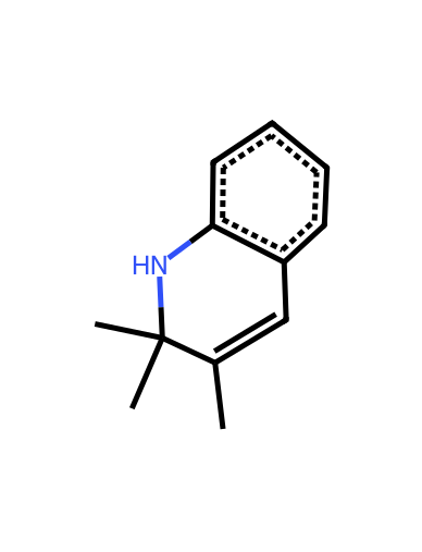 CC1=Cc2ccccc2NC1(C)C